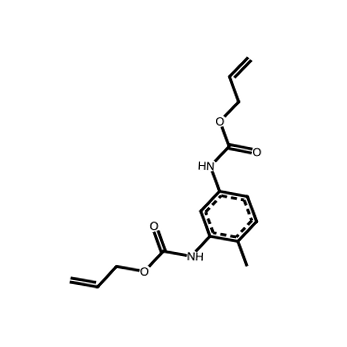 C=CCOC(=O)Nc1ccc(C)c(NC(=O)OCC=C)c1